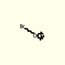 CN1C(C)(C)CC(OCCCCCCBr)CC1(C)C